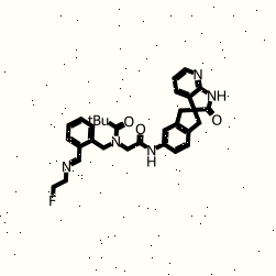 CC(C)(C)C(=O)N(CC(=O)Nc1ccc2c(c1)CC1(C2)C(=O)Nc2ncccc21)Cc1ccccc1C=NCCF